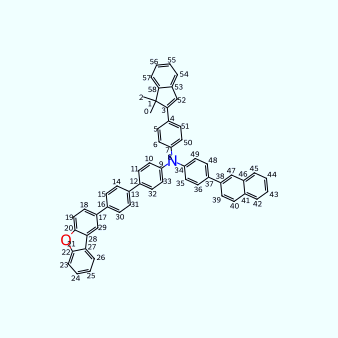 CC1(C)C(c2ccc(N(c3ccc(-c4ccc(-c5ccc6oc7ccccc7c6c5)cc4)cc3)c3ccc(-c4ccc5ccccc5c4)cc3)cc2)=Cc2ccccc21